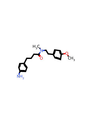 COc1ccc(CCN(C)C(=O)CCCc2ccc(N)cc2)cc1